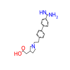 N=C(N)c1ccc(-c2ccc(CCN3CCC(CC(=O)O)C3)cc2)cc1